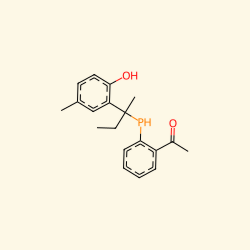 CCC(C)(Pc1ccccc1C(C)=O)c1cc(C)ccc1O